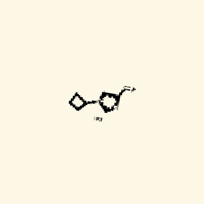 Cl.O=C(O)c1cn(C2CCC2)cn1